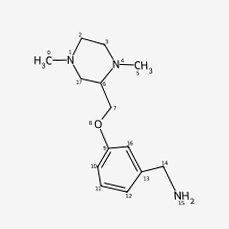 CN1CCN(C)C(COc2cccc(CN)c2)C1